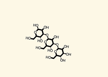 OCC1O[C@@H](O[C@@H]2C(O)[C@H](O[C@@H]3C(O)[C@H](O)OC(CO)[C@H]3O)OC(CO)[C@H]2O)C(O)[C@@H](O)[C@@H]1O